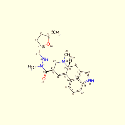 C[C@H]1CC[C@@H](CNN(C)C(=O)[C@@H]2C=C3c4cccc5[nH]cc(c45)C[C@H]3N(C)C2)O1